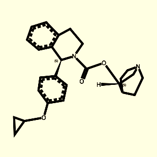 O=C(O[C@@H]1CN2CCC1CC2)N1CCc2ccccc2[C@@H]1c1ccc(OC2CC2)cc1